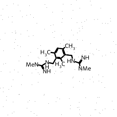 CNC(=N)NCc1c(C)cc(C)c(CNC(=N)NC)c1C